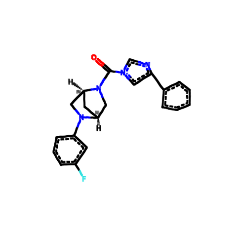 O=C(N1C[C@@H]2C[C@H]1CN2c1cccc(F)c1)n1cnc(-c2ccccc2)c1